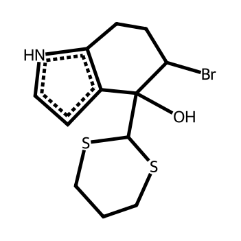 OC1(C2SCCCS2)c2cc[nH]c2CCC1Br